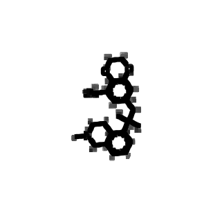 CN1CCc2c(cccc2C(C)(C)Cc2cc3c(c(C(C)(C)C)c2)OCCO3)C1